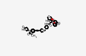 Cn1c(=O)n(C2CCC(=O)NC2)c2ccc(C#CC3CCN(C[C@H]4CC[C@H](NC(=O)[C@@H]5NC6(CCOCC6)[C@@]6(C(=O)Nc7cc(Cl)ccc76)[C@H]5c5cccc(Cl)c5F)CC4)CC3)cc21